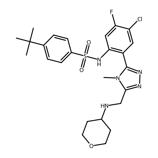 Cn1c(CNC2CCOCC2)nnc1-c1cc(Cl)c(F)cc1NS(=O)(=O)c1ccc(C(C)(C)C)cc1